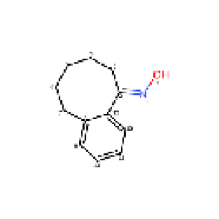 O/N=C1\CCCCCc2ccccc21